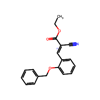 CCOC(=O)/C(C#N)=C/c1ccccc1OCc1ccccc1